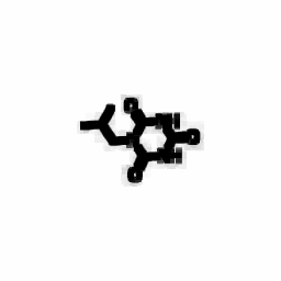 CC(C)Cn1c(=O)[nH]c(=O)[nH]c1=O